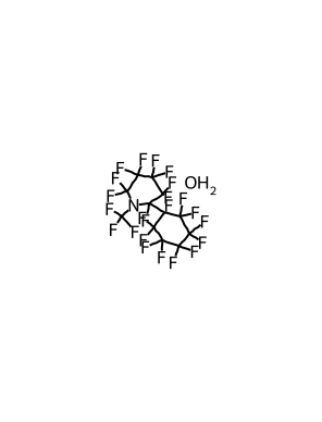 FC(F)(F)N1C(F)(F)C(F)(F)C(F)(F)C(F)(F)C1(F)C1(F)C(F)(F)C(F)(F)C(F)(F)C(F)(F)C1(F)F.O